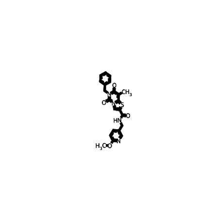 COc1ccc(CNC(=O)c2cn3c(=O)n(Cc4ccccc4)c(=O)c(C)c3s2)cn1